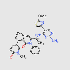 COc1nc(-c2cnc(N)nc2N[C@@H](C)c2cc3cccc(-c4ccc(=O)n(C)c4)c3c(=O)n2-c2ccccc2)cs1